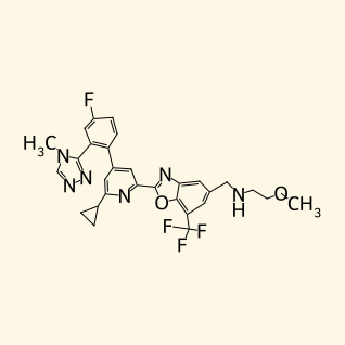 COCCNCc1cc(C(F)(F)F)c2oc(-c3cc(-c4ccc(F)cc4-c4nncn4C)cc(C4CC4)n3)nc2c1